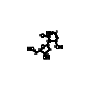 O=C1NC=CC(O)N1[C@H]1C[C@@H](O)[C@@H](CO)O1